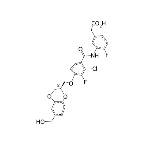 O=C(O)Cc1ccc(F)c(NC(=O)c2ccc(OC[C@@H]3COc4cc(CO)ccc4O3)c(F)c2Cl)c1